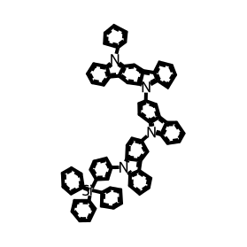 c1ccc(-n2c3ccccc3c3cc4c(cc32)c2ccccc2n4-c2ccc3c(c2)c2ccccc2n3-c2ccc3c(c2)c2ccccc2n3-c2cccc([Si](c3ccccc3)(c3ccccc3)c3ccccc3)c2)cc1